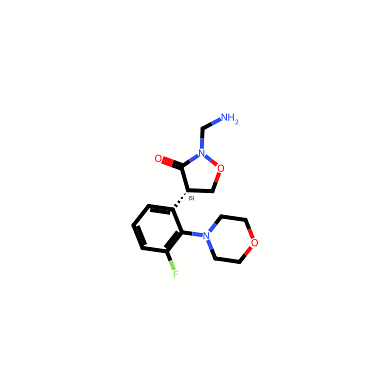 NCN1OC[C@H](c2cccc(F)c2N2CCOCC2)C1=O